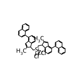 CC1=Cc2c(-c3cccc4ccccc34)cccc2C1C[SiH](CC1C(C)=Cc2c(-c3cccc4ccccc34)cccc21)[Zr]([Cl])[Cl]